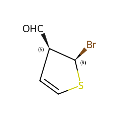 O=C[C@@H]1C=CS[C@@H]1Br